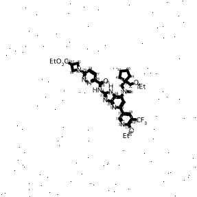 CCOCC1(CN(C)c2cc(-c3cnc(OCC)c(C(F)(F)F)c3)nc3nc(NC(=O)c4ccc(N5CC(C(=O)OCC)C5)nn4)[nH]c23)CCCC1